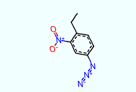 CCc1ccc(N=[N+]=[N-])cc1[N+](=O)[O-]